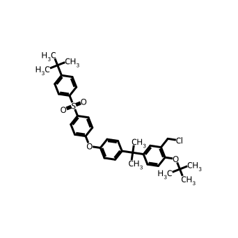 CC(C)(C)Oc1ccc(C(C)(C)c2ccc(Oc3ccc(S(=O)(=O)c4ccc(C(C)(C)C)cc4)cc3)cc2)cc1CCl